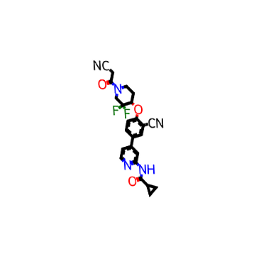 N#CCC(=O)N1CCC(Oc2ccc(-c3ccnc(NC(=O)C4CC4)c3)cc2C#N)C(F)(F)C1